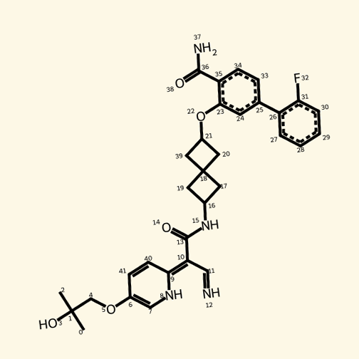 CC(C)(O)COC1=CN/C(=C(\C=N)C(=O)NC2CC3(C2)CC(Oc2cc(-c4ccccc4F)ccc2C(N)=O)C3)C=C1